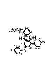 CC(C)(C)NCc1ccccc1Pc1cc(CC2C=CC=CC2)cc(C2C=CC=CC2)c1O